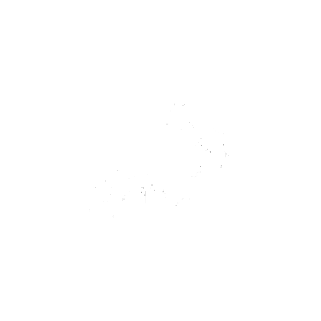 Cc1c(C#Cc2cnc3ccc(N4CCOCC4)nn23)cccc1C(=O)Nc1cccc(C(F)(F)F)c1